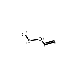 C=COSCl